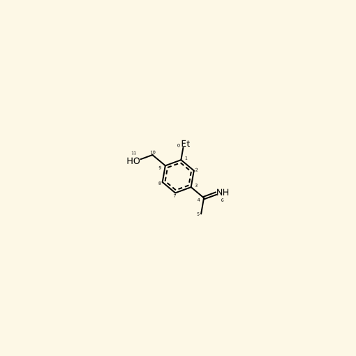 CCc1cc(C(C)=N)ccc1CO